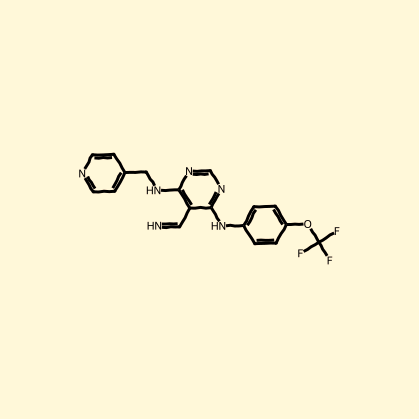 N=Cc1c(NCc2ccncc2)ncnc1Nc1ccc(OC(F)(F)F)cc1